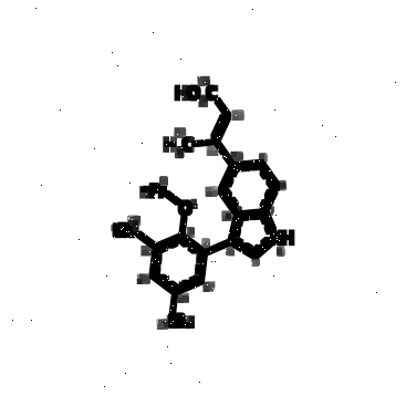 CCCOc1c(-c2c[nH]c3ccc(/C(C)=C/C(=O)O)cc23)cc(C(C)(C)C)cc1C(C)(C)C